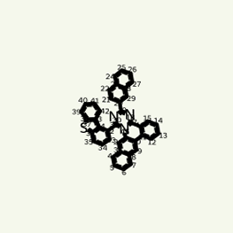 Cc1cc2ccccc2cc1-c1ccccc1-c1nc(-c2ccc3ccccc3c2)nc(-c2cccc3sc4ccccc4c23)n1